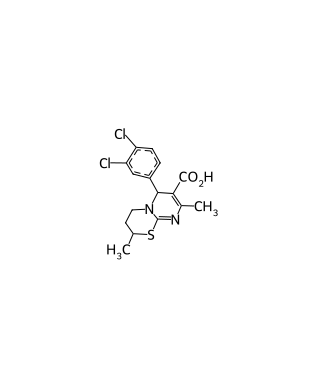 CC1=C(C(=O)O)C(c2ccc(Cl)c(Cl)c2)N2CCC(C)SC2=N1